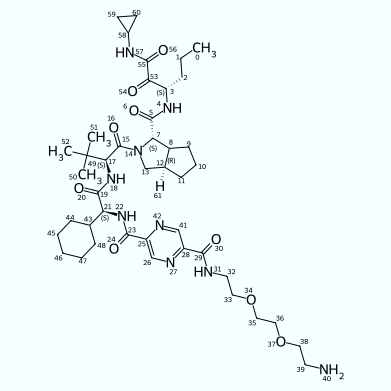 CCC[C@H](NC(=O)[C@@H]1C2CCC[C@H]2CN1C(=O)[C@@H](NC(=O)[C@@H](NC(=O)c1cnc(C(=O)NCCOCCOCCN)cn1)C1CCCCC1)C(C)(C)C)C(=O)C(=O)NC1CC1